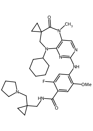 COc1cc(C(=O)NCC2(CN3CCCC3)CC2)c(F)cc1Nc1ncc2c(n1)N(C1CCCCC1)CC1(CC1)C(=O)N2C